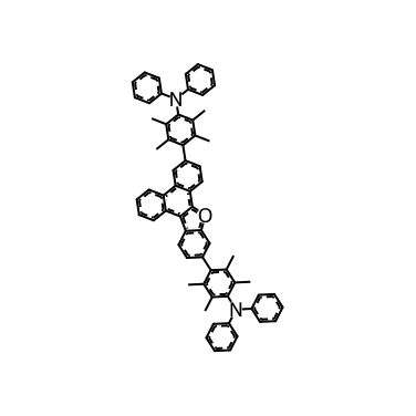 Cc1c(C)c(N(c2ccccc2)c2ccccc2)c(C)c(C)c1-c1ccc2c(c1)oc1c3ccc(-c4c(C)c(C)c(N(c5ccccc5)c5ccccc5)c(C)c4C)cc3c3ccccc3c21